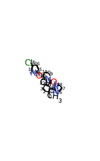 Cc1cccc(C(=O)N2CCC[C@@H](Oc3ccc(Cl)cn3)[C@@H]2C)c1-c1ncccn1